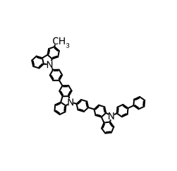 Cc1ccc2c(c1)c1ccccc1n2-c1ccc(-c2ccc3c(c2)c2ccccc2n3-c2ccc(-c3ccc4c(c3)c3ccccc3n4-c3ccc(-c4ccccc4)cc3)cc2)cc1